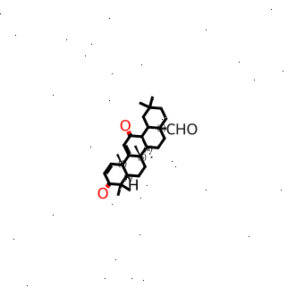 CC1(C)CC[C@]2(C=O)CC[C@]3(C)C(C(=O)C=C4[C@@]5(C)C=CC(=O)C(C)(C)[C@@H]5CC[C@]43C)C2C1